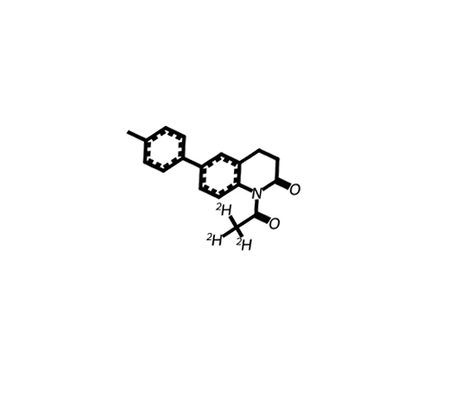 [2H]C([2H])([2H])C(=O)N1C(=O)CCc2cc(-c3ccc(C)cc3)ccc21